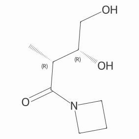 C[C@@H](C(=O)N1CCC1)[C@@H](O)CO